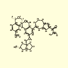 C[C@@H]1OC[C@]2(Cc3nc(OC[C@@]45CCCN4C[C@H](F)C5)nc(N4CCCn5nc(C(=O)N(C)C)cc5C4)c3CO2)c2cc(N)ccc21